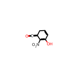 O=C=C1CC=CC(O)=C1[N+](=O)[O-]